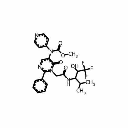 COC(=O)N(c1ccncc1)c1cnc(-c2ccccc2)n(CC(=O)NC(C(C)C)C(O)C(F)(F)F)c1=O